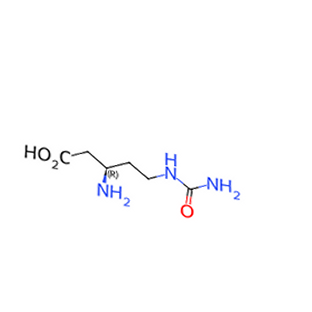 NC(=O)NCC[C@@H](N)CC(=O)O